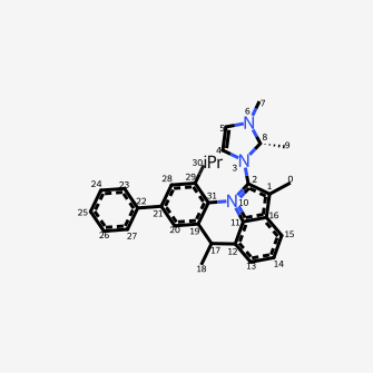 Cc1c(N2C=CN(C)[C@@H]2C)n2c3c(cccc13)C(C)c1cc(-c3ccccc3)cc(C(C)C)c1-2